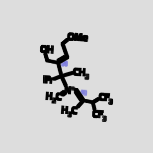 C=[N+](/C=C(\C)C(C(F)(F)F)C(F)(F)F)C(C)(/C(=C/COC)CO)C(C)C